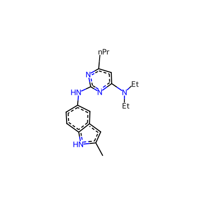 CCCc1cc(N(CC)CC)nc(Nc2ccc3[nH]c(C)cc3c2)n1